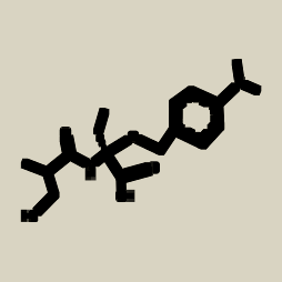 CC[C@](NC(=O)C(C)CS)(OCc1ccc(N(C)C)cc1)C(=O)O